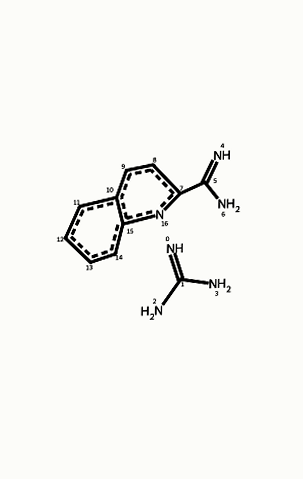 N=C(N)N.N=C(N)c1ccc2ccccc2n1